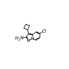 Nc1nn2ccc(Cl)cc2c1C1CCC1